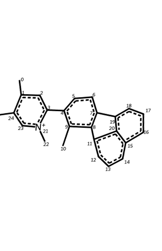 Cc1cc(-c2ccc3c(c2C)-c2cccc4cccc-3c24)[n+](C)cc1C